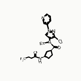 CCN(C(=O)[C@H]1CC[C@@H](NC(=O)CCC(F)(F)F)C1)c1cn(-c2cccnc2)nc1Cl